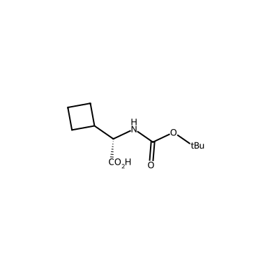 CC(C)(C)OC(=O)N[C@H](C(=O)O)C1CCC1